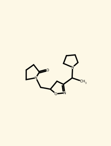 CC(C1=NOC(CN2CCCC2=O)C1)N1CCCC1